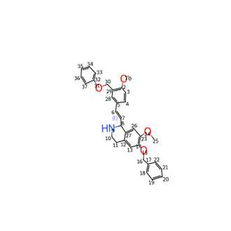 COc1ccc(/C=C/C2NCCc3cc(OCc4ccccc4)c(OC)cc32)cc1COc1ccccc1